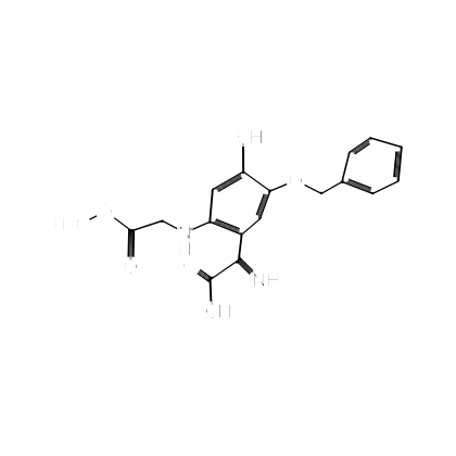 COC(=O)CNc1cc(C)c(OCc2ccccc2)cc1C(=N)C(C)=O